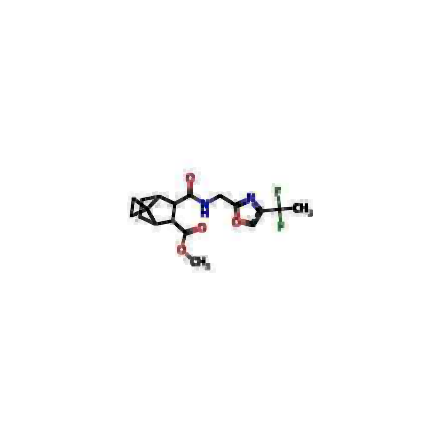 COC(=O)C1C(C(=O)NCc2nc(C(C)(F)F)co2)C2CCC1C21CC1